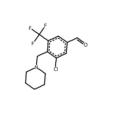 O=Cc1cc(Cl)c(CN2CCCCC2)c(C(F)(F)F)c1